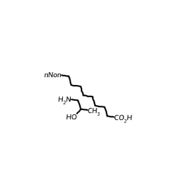 CC(O)CN.CCCCCCCCCCCCCCCCCC(=O)O